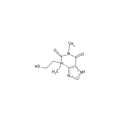 CN1C(=O)c2[nH]cnc2[N+](C)(CCO)C1=O